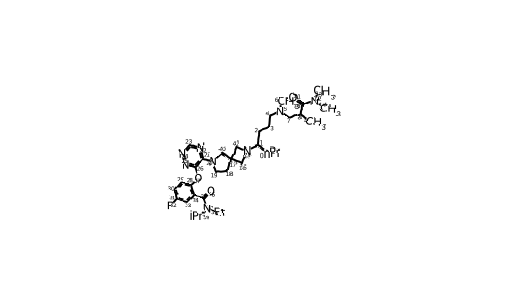 CCCC(CCCN(C)CC(C)C(=O)N(C)C)N1CC2(CCN(c3ncnnc3Oc3ccc(F)cc3C(=O)N(CC)C(C)C)C2)C1